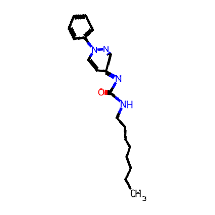 CCCCCCCCNC(=O)N=c1ccn(-c2ccccc2)nc1